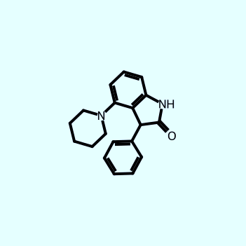 O=C1Nc2cccc(N3CCCCC3)c2C1c1ccccc1